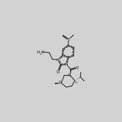 C=S(C)c1ccc2c(c1)n(CCN)c(=O)n2C(=O)[C@@H]1C[C@H](C)CC[C@H]1C(C)C